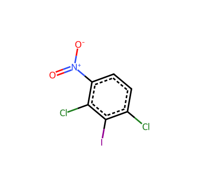 O=[N+]([O-])c1ccc(Cl)c(I)c1Cl